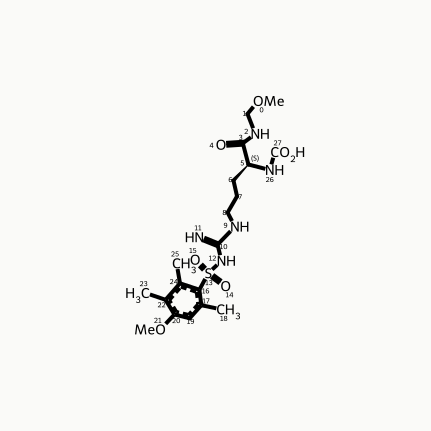 COCNC(=O)[C@H](CCCNC(=N)NS(=O)(=O)c1c(C)cc(OC)c(C)c1C)NC(=O)O